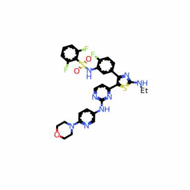 CCNc1nc(-c2ccc(F)c(NS(=O)(=O)c3c(F)cccc3F)c2)c(-c2ccnc(Nc3ccc(N4CCOCC4)nc3)n2)s1